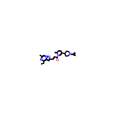 C=C1C=CC(C2CCN(C3CC3)CC2)=CN1C(=O)/C=C/c1cc2c(CC)nc(C)cn2n1